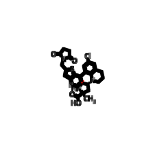 C[C@]1(C(=O)O)C[C@@H](N2CCCc3cc(Cl)cc(-c4ccnc5cc(CN6C(=O)CCC6=O)sc45)c32)CN1